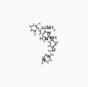 Cc1cc(-c2c(C)cccc2C)cc(N)c1/N=C(\N)Nc1ccc(OCCN2CCN(C)CC2)cc1